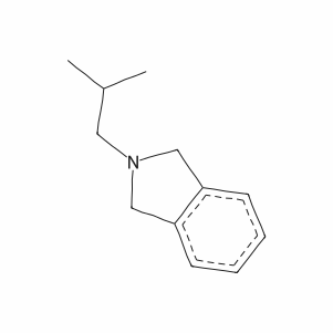 CC(C)CN1Cc2ccccc2C1